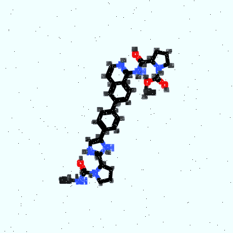 CC(C)(C)NC(=O)N1CCCC1c1ncc(-c2ccc(-c3ccc4c(NC(=O)C5CCCN5C(=O)OC(C)(C)C)nccc4c3)cc2)[nH]1